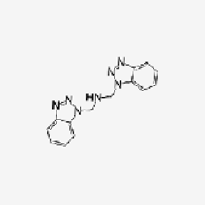 c1ccc2c(c1)nnn2CNCn1nnc2ccccc21